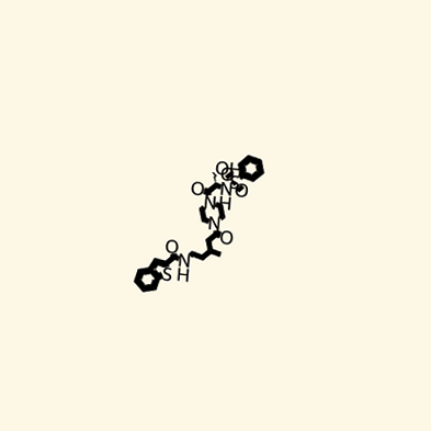 CC(CCNC(=O)c1cc2ccccc2s1)CC(=O)N1CCN(C(=O)[C@H](CO)NS(=O)(=O)c2ccccc2)CC1